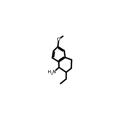 CCC1CCc2cc(OC)ccc2C1N